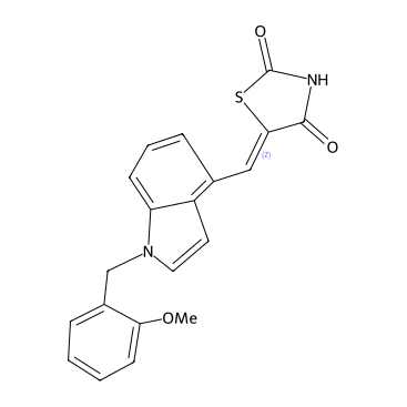 COc1ccccc1Cn1ccc2c(/C=C3\SC(=O)NC3=O)cccc21